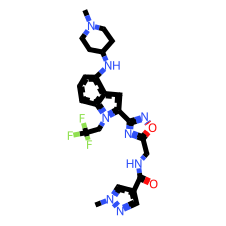 CN1CCC(Nc2cccc3c2cc(-c2noc(CNC(=O)c4cnn(C)c4)n2)n3CC(F)(F)F)CC1